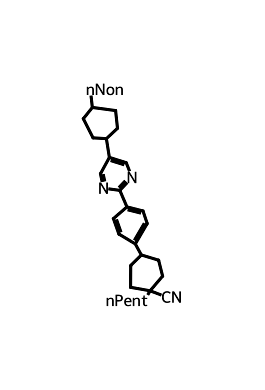 CCCCCCCCCC1CCC(c2cnc(-c3ccc(C4CCC(C#N)(CCCCC)CC4)cc3)nc2)CC1